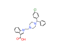 O=C(O)c1cn(CCN2CCN(C(c3ccccc3)c3ccc(Cl)cc3)CC2)c2ccccc12